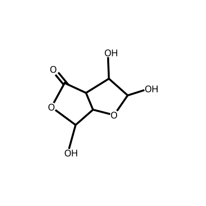 O=C1OC(O)C2OC(O)C(O)C12